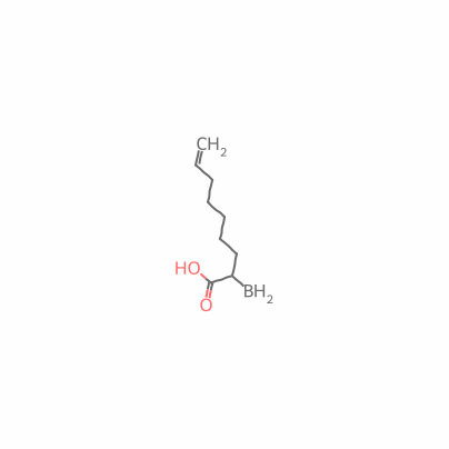 BC(CCCCCC=C)C(=O)O